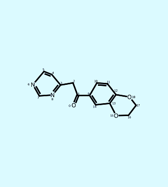 O=C(Cc1ccncn1)c1ccc2c(c1)OCCO2